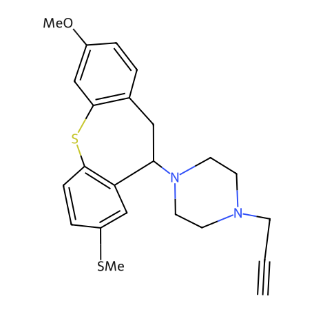 C#CCN1CCN(C2Cc3ccc(OC)cc3Sc3ccc(SC)cc32)CC1